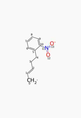 [CH2]C=CCCc1ccccc1[N+](=O)[O-]